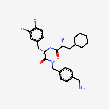 NCc1ccc(CNC(=O)[C@H](Cc2ccc(Cl)c(Cl)c2)NC(=O)[C@H](N)CC2CCCCC2)cc1